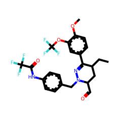 CCC1CC(C=O)N(Cc2ccc(NC(=O)C(F)(F)F)cc2)N=C1c1ccc(OC)c(OC(F)(F)F)c1